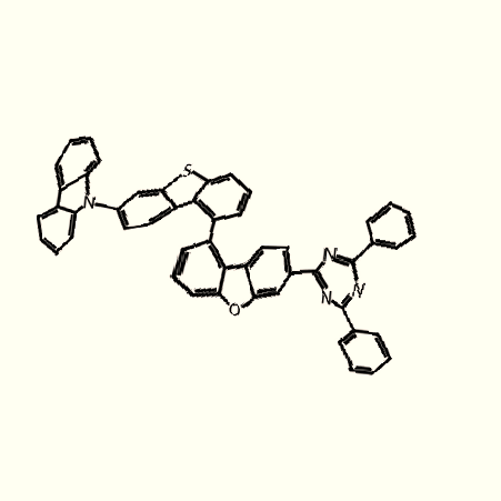 c1ccc(-c2nc(-c3ccccc3)nc(-c3ccc4c(c3)oc3cccc(-c5cccc6sc7cc(-n8c9ccccc9c9ccccc98)ccc7c56)c34)n2)cc1